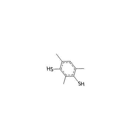 Cc1cc(C)c(S)c(C)c1S